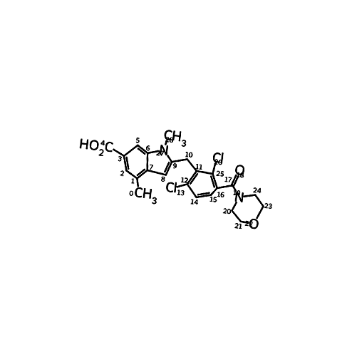 Cc1cc(C(=O)O)cc2c1cc(Cc1c(Cl)ccc(C(=O)N3CCOCC3)c1Cl)n2C